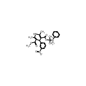 COC(=O)C1=C(C)NC(C)=C(C(=O)OC(C)(C)[SiH2]c2ccccc2)C1c1cccc([N+](=O)[O-])c1